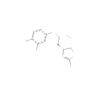 CC[C@H](C[C@H]1COC(N)=N1)Oc1ccc(Cl)c(F)c1